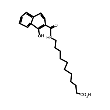 O=C(O)CCCCCCCCCCNC(=O)c1ccc2ccccc2c1O